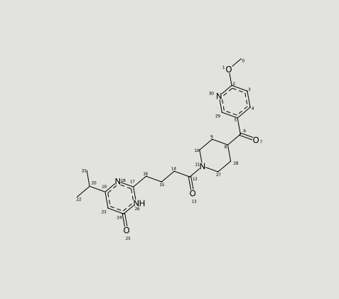 COc1ccc(C(=O)C2CCN(C(=O)CCCc3nc(C(C)C)cc(=O)[nH]3)CC2)cn1